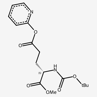 COC(=O)[C@H](CCC(=O)Oc1ccccn1)NC(=O)OC(C)(C)C